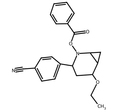 CCOC1CC(c2ccc(C#N)cc2)N(OC(=O)c2ccccc2)C2CC12